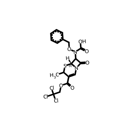 CC1S[C@@H]2C(N(OCc3ccccc3)C(=O)O)C(=O)N2C=C1C(=O)OCC(Cl)(Cl)Cl